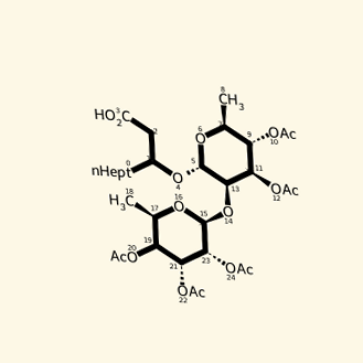 CCCCCCCC(CC(=O)O)O[C@@H]1O[C@@H](C)[C@H](OC(C)=O)[C@@H](OC(C)=O)[C@H]1O[C@@H]1O[C@H](C)C(OC(C)=O)[C@@H](OC(C)=O)[C@H]1OC(C)=O